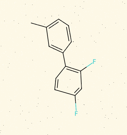 Cc1cc[c]c(-c2ccc(F)cc2F)c1